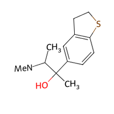 CNC(C)C(C)(O)c1ccc2c(c1)CCS2